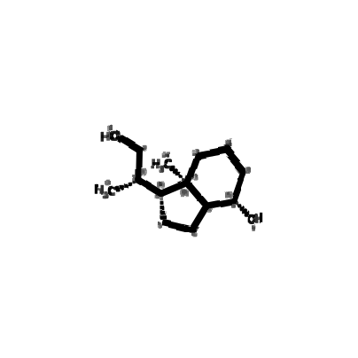 C[C@H](CO)[C@H]1CCC2[C@@H](O)CCC[C@@]21C